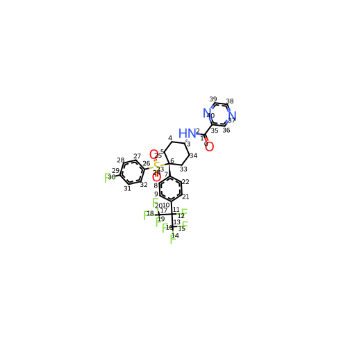 O=C(N[C@H]1CC[C@@](c2ccc(C(F)(C(F)(F)F)C(F)(F)F)cc2)(S(=O)(=O)c2ccc(F)cc2)CC1)c1cnccn1